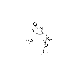 CC(C)COSN(C)Cc1ccnc(Cl)n1.S